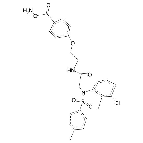 Cc1ccc(S(=O)(=O)N(CC(=O)NCCOc2ccc(C(=O)ON)cc2)c2cccc(Cl)c2C)cc1